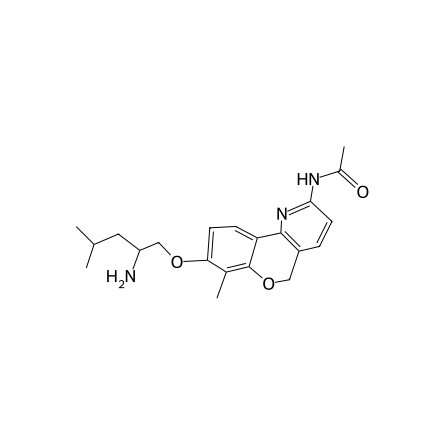 CC(=O)Nc1ccc2c(n1)-c1ccc(OCC(N)CC(C)C)c(C)c1OC2